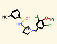 CC(C)Oc1c(Cl)cc(CN2CC[C@@H](N[S+]([O-])c3cccc(C#N)c3)C2)cc1Cl